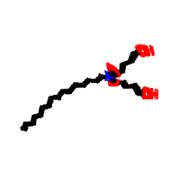 CCCCCCCCCCCCCCCCN(OCCCCO)OCCCCO